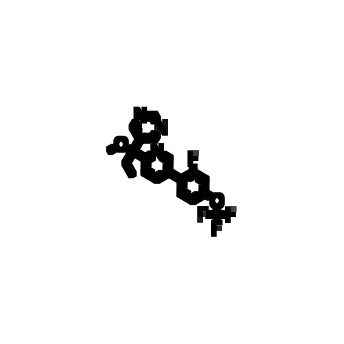 CCC(OC)(c1cncnc1)c1ccc(-c2ccc(OC(F)(F)F)cc2F)cn1